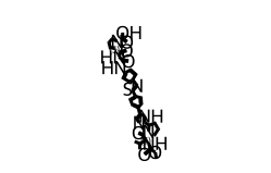 COC(=O)N[C@H](C(=O)N1CCCC1c1ncc(-c2ccc(-c3nc4ccc(NC(=O)NC(=O)[C@@H]5CCCN5C(=O)O)cc4s3)cc2)[nH]1)C(C)C